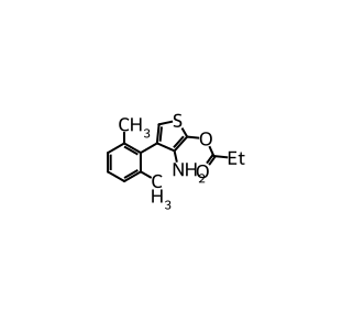 CCC(=O)Oc1scc(-c2c(C)cccc2C)c1N